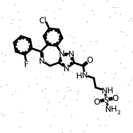 NS(=O)(=O)NCCNC(=O)c1nc2n(n1)-c1ccc(Cl)cc1C(c1ccccc1F)=NC2